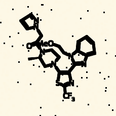 COCCn1c(-c2nc(C(F)(F)F)sc2N2CCN(C(=O)Cn3cccn3)[C@H](C)C2)nc2ccccc21